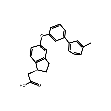 Cc1cccc(-c2cccc(Oc3ccc4c(c3)CC[C@H]4CC(=O)O)c2)c1